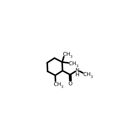 CNC(=O)C1C(C)CCCC1(C)C